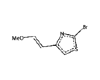 CO/C=C/c1csc(Br)n1